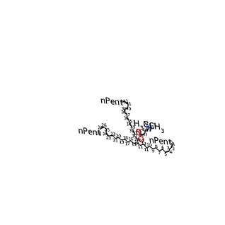 CCCCC/C=C\C/C=C\CCCCCCCCC(CCCCCCCC/C=C\C/C=C\CCCCC)C(CCCCCCCC/C=C\C/C=C\CCCCC)OC(=O)CCCN(C)C